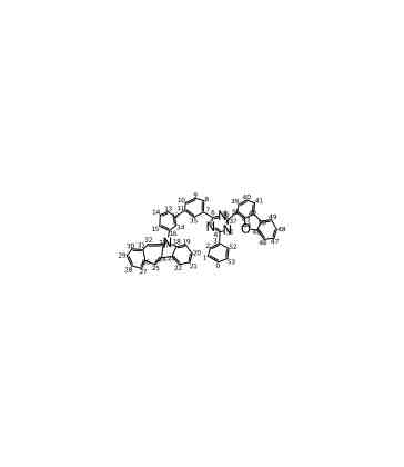 c1ccc(-c2nc(-c3cccc(-c4cccc(-n5c6ccccc6c6cc7ccccc7cc65)c4)c3)nc(-c3cccc4c3oc3ccccc34)n2)cc1